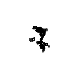 Cl.O=C(CCCN1CCC(O)(c2ccc(Cl)cc2)CC1)c1ccc(F)cc1[N+](=O)[O-]